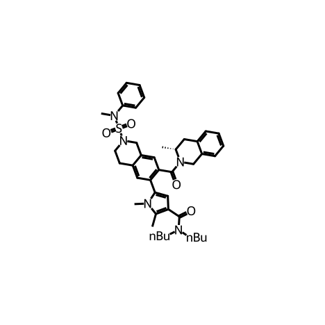 CCCCN(CCCC)C(=O)c1cc(-c2cc3c(cc2C(=O)N2Cc4ccccc4C[C@H]2C)CN(S(=O)(=O)N(C)c2ccccc2)CC3)n(C)c1C